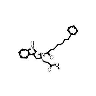 COC(=O)CC[C@@H](Cc1c[nH]c2ccccc12)NC(=O)CCCCCCc1ccccc1